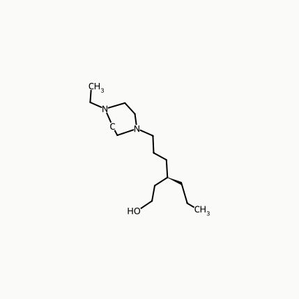 CCC[C@@H](CCO)CCCN1CCN(CC)CC1